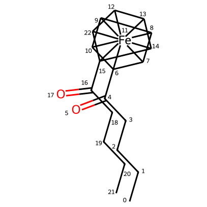 CCCCC(=O)[C]12[CH]3[CH]4[CH]5[CH]1[Fe]45321678[CH]2[CH]1[CH]6[C]7(C(=O)CCCC)[CH]28